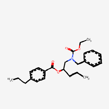 CCCc1ccc(C(=O)OC(CCC)CN(Cc2ccccc2)C(=O)OCC)cc1